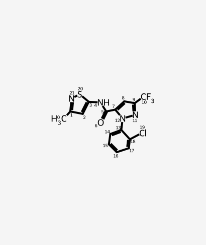 Cc1cc(NC(=O)c2cc(C(F)(F)F)nn2-c2ccccc2Cl)sn1